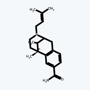 CC(C)=CCN1CC[C@@]2(C)c3cc(C(N)=O)ccc3CC1C2C